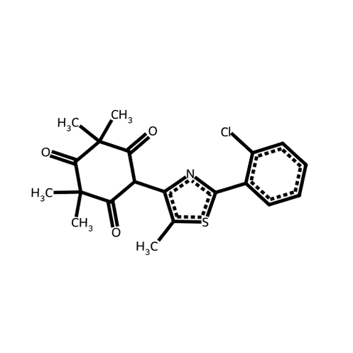 Cc1sc(-c2ccccc2Cl)nc1C1C(=O)C(C)(C)C(=O)C(C)(C)C1=O